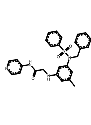 Cc1cc(NCC(=O)Nc2ccncc2)cc(N(Cc2ccccc2)S(=O)(=O)c2ccccc2)c1